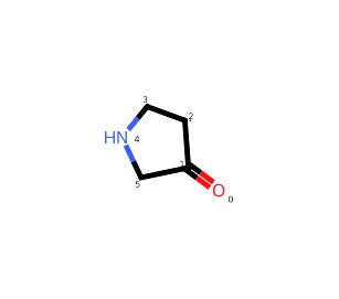 O=C1[CH]CNC1